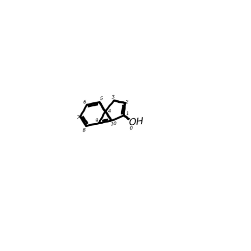 OC1=CCC23C=CC=CC2=C13